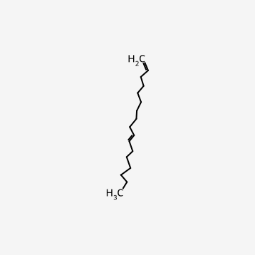 C=CCCCCCCCC=CCCCCCC